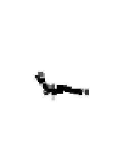 CCCCCCCCCc1ccc(-c2c[nH]c(C(=O)OCCOCCOCC)c2F)cc1